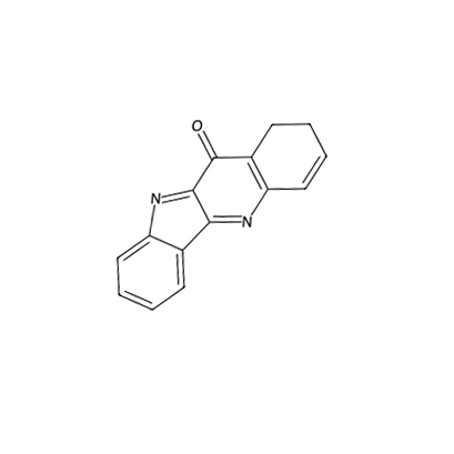 O=C1C2=Nc3ccccc3C2=NC2=C1CCC=C2